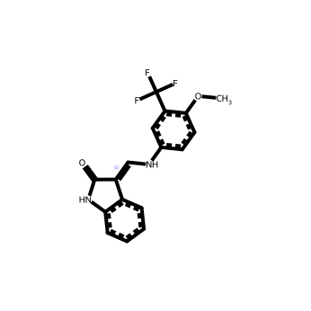 COc1ccc(N/C=C2/C(=O)Nc3ccccc32)cc1C(F)(F)F